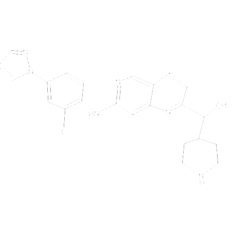 OC(c1ccc2cnc(Nc3ccc(-n4cccn4)cc3F)cc2n1)C1CCNCC1